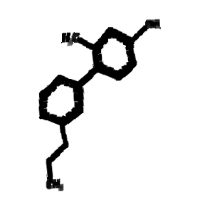 CCCc1cccc(-c2ccc(O)cc2C)c1